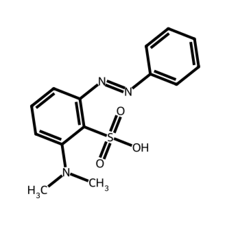 CN(C)c1cccc(N=Nc2ccccc2)c1S(=O)(=O)O